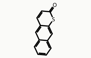 O=c1ccc2cc3ccccc3cc2s1